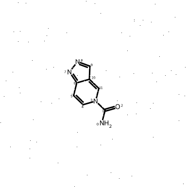 NC(=O)n1ccc2nncc-2c1